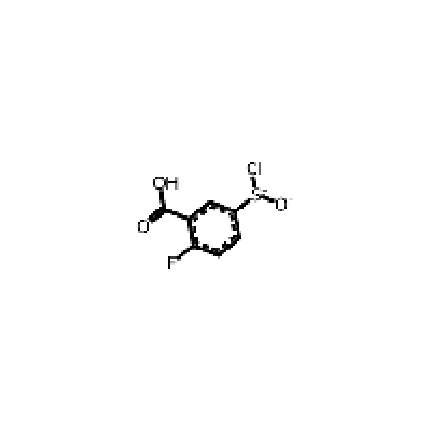 O=C(O)c1cc([S+]([O-])Cl)ccc1F